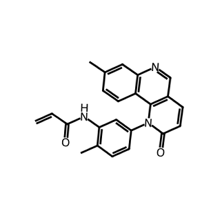 C=CC(=O)Nc1cc(-n2c(=O)ccc3cnc4cc(C)ccc4c32)ccc1C